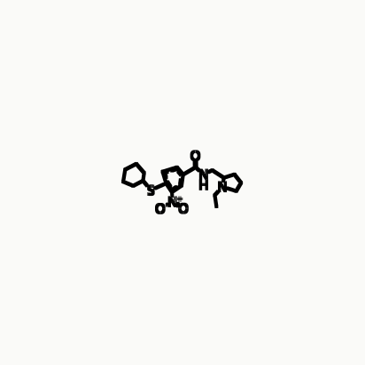 CCN1CCCC1CNC(=O)c1ccc(SC2CCCCC2)c([N+](=O)[O-])c1